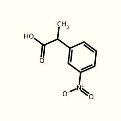 CC(C(=O)O)c1cccc([N+](=O)[O-])c1